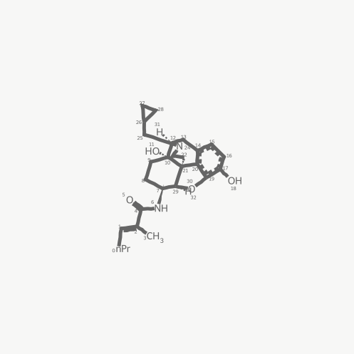 CCC/C=C(\C)C(=O)N[C@H]1CC[C@@]2(O)[C@H]3Cc4ccc(O)c5c4[C@@]2(CCN3CC2CC2)[C@H]1O5